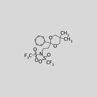 CC1(C)COC(CCN(S(=O)(=O)C(F)(F)F)S(=O)(=O)C(F)(F)F)(c2ccccc2)OC1